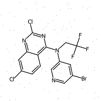 FC(F)(F)CN(c1cncc(Br)c1)c1nc(Cl)nc2cc(Cl)ccc12